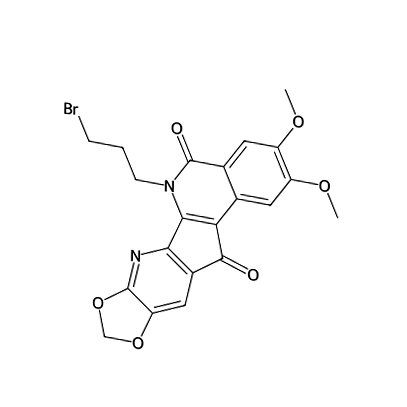 COc1cc2c3c(n(CCCBr)c(=O)c2cc1OC)-c1nc2c(cc1C3=O)OCO2